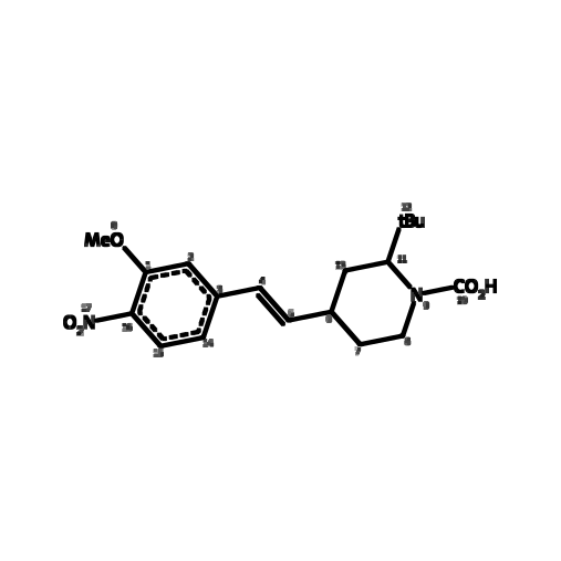 COc1cc(C=CC2CCN(C(=O)O)C(C(C)(C)C)C2)ccc1[N+](=O)[O-]